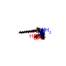 CCCCCCCCCCCCCCCCOC(CC)c1nc(N)c2nc(Cc3ccccc3)n(CCOCP(=O)(O)O)c2n1